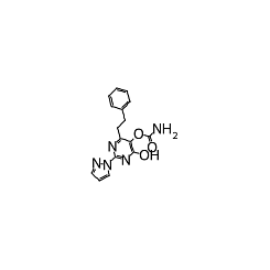 NC(=O)Oc1c(O)nc(-n2cccn2)nc1CCc1ccccc1